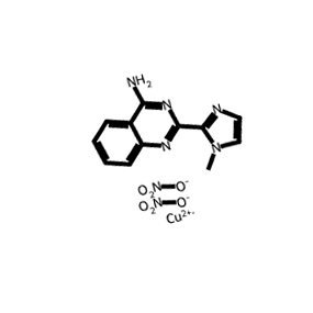 Cn1ccnc1-c1nc(N)c2ccccc2n1.O=[N+]([O-])[O-].O=[N+]([O-])[O-].[Cu+2]